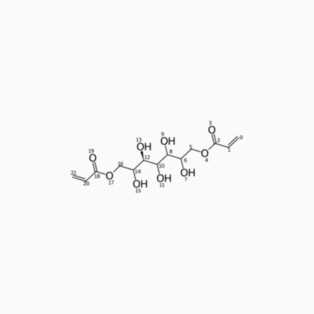 C=CC(=O)OCC(O)C(O)C(O)[C@H](O)C(O)COC(=O)C=C